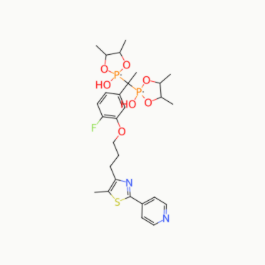 Cc1sc(-c2ccncc2)nc1CCCOc1cc(C(C)([P]2(O)OC(C)C(C)O2)[P]2(O)OC(C)C(C)O2)ccc1F